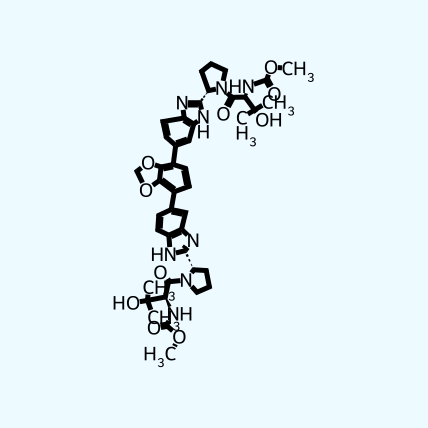 COC(=O)N[C@H](C(=O)N1CCC[C@H]1c1nc2cc(-c3ccc(-c4ccc5nc([C@@H]6CCCN6C(=O)[C@@H](NC(=O)OC)C(C)(C)O)[nH]c5c4)c4c3OCO4)ccc2[nH]1)C(C)(C)O